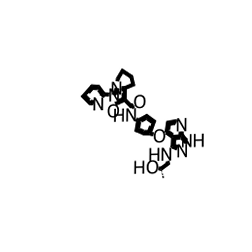 C[C@H](O)CNc1n[nH]c2nccc(Oc3ccc(NC(=O)c4c5n(n(-c6ccccn6)c4=O)CCCC5)cc3)c12